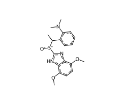 COc1ccc(OC)c2[nH]c([S+]([O-])C(C)c3ccccc3N(C)C)nc12